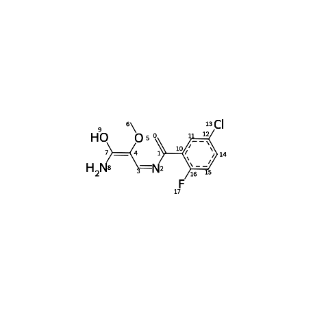 C=C(/N=C\C(OC)=C(/N)O)c1cc(Cl)ccc1F